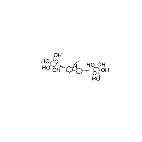 CCn1c2cc(C#C[C@H]3O[C@H](CO)[C@@H](O)[C@H](O)[C@@H]3O)ccc2c2ccc(C#C[C@H]3O[C@H](CO)[C@@H](O)[C@H](O)[C@@H]3O)cc21